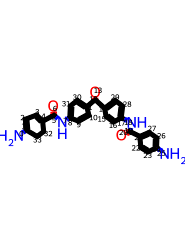 NC1=CC=C(C(=O)Nc2ccc(C(=O)c3ccc(NC(=O)c4ccc(N)cc4)cc3)cc2)CC1